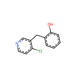 Oc1ccccc1Cc1cnccc1Cl